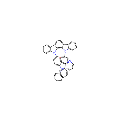 c1ccc(-c2ccc(-n3c4ccccc4c4ccc5c6ccccc6n(-c6ccc7c(c6)c6ncccc6n7-c6ccccc6)c5c43)cc2)cc1